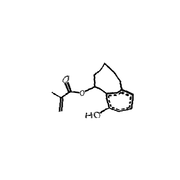 C=C(C)C(=O)OC1CCCc2cccc(O)c21